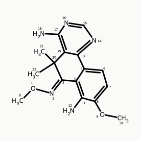 CO/N=C1/c2c(ccc(OC)c2N)-c2ncnc(N)c2C1(C)C